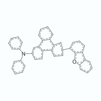 c1ccc(N(c2ccccc2)c2ccc3c4ccc(-c5cccc6c5oc5ccccc56)cc4c4ccccc4c3c2)cc1